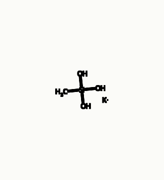 C[Si](O)(O)O.[K]